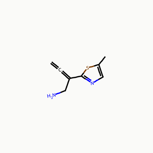 C=C=C(CN)c1ncc(C)s1